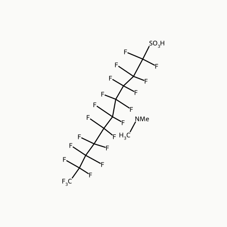 CNC.O=S(=O)(O)C(F)(F)C(F)(F)C(F)(F)C(F)(F)C(F)(F)C(F)(F)C(F)(F)C(F)(F)C(F)(F)C(F)(F)F